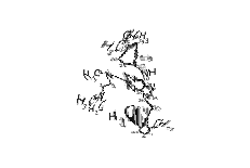 CCN(CCN(C)C)c1nc(Nc2ccc(P(C)(C)=O)cc2)c2ncn(/C=C/c3c(C)cccc3C)c2n1